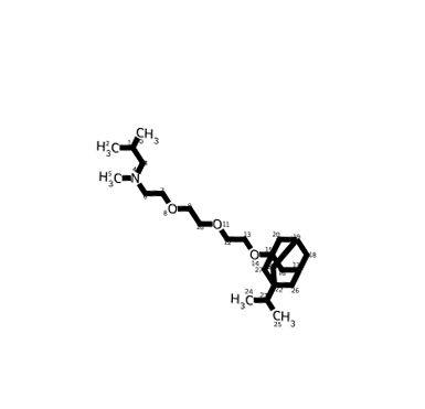 CC(C)CN(C)CCOCCOCCOC12CC3CC(C1)CC(C(C)C)(C3)C2